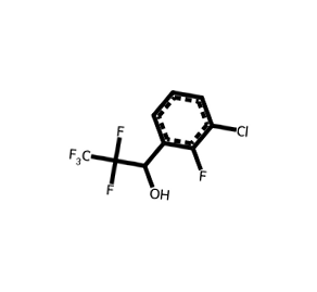 OC(c1cccc(Cl)c1F)C(F)(F)C(F)(F)F